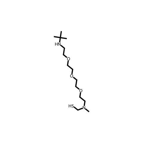 CN(CS)CCOCCOCCOCCNC(C)(C)C